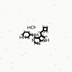 Cl.c1nc(NC2CCCNC2)c2c(CC3CCC3)c[nH]c2n1